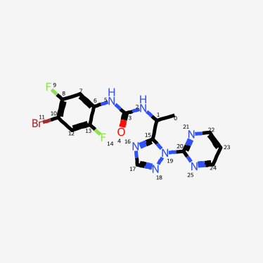 CC(NC(=O)Nc1cc(F)c(Br)cc1F)c1ncnn1-c1ncccn1